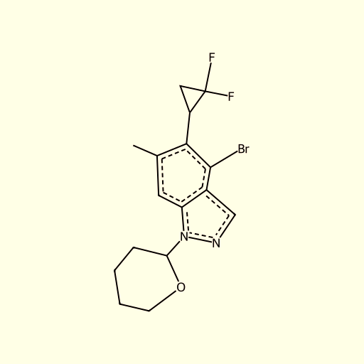 Cc1cc2c(cnn2C2CCCCO2)c(Br)c1C1CC1(F)F